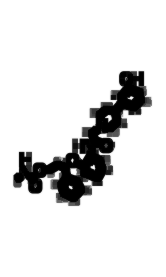 CNC(=O)OCCC(Oc1ccccc1NC(=O)CN1CCC(c2cccc(O)c2)CC1)c1ccccc1